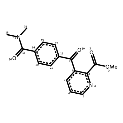 COC(=O)c1ncccc1C(=O)c1ccc(C(=O)N(C)C)cc1